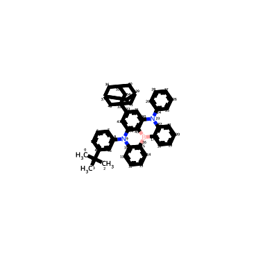 CC(C)(C)c1cccc(N2c3ccccc3B3c4ccccc4N(c4ccccc4)c4cc(C56CC7CC(CC(C7)C5)C6)cc2c43)c1